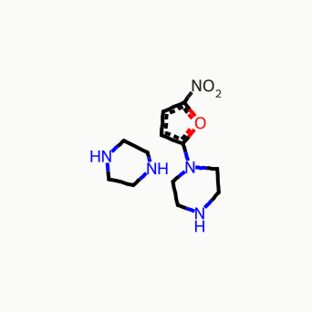 C1CNCCN1.O=[N+]([O-])c1ccc(N2CCNCC2)o1